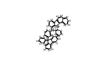 c1ccc(N(c2cccc(C3(c4ccccc4)c4ccccc4-c4ccccc43)c2)c2cccc3c2sc2c4ccccc4ccc32)cc1